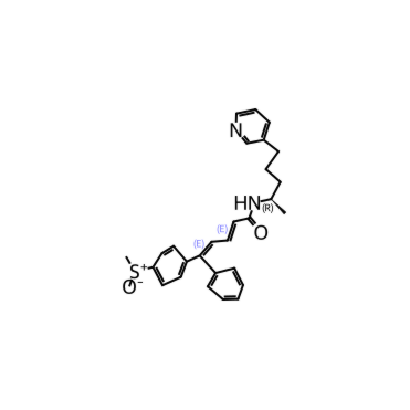 C[C@H](CCCc1cccnc1)NC(=O)/C=C/C=C(\c1ccccc1)c1ccc([S+](C)[O-])cc1